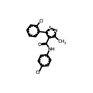 Cc1nsc(-c2ccccc2Cl)c1C(=O)Nc1ccc(Cl)cc1